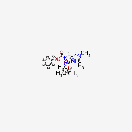 CN(C)CC(CNC(=O)OCc1ccccc1)NC(=O)OC(C)(C)C